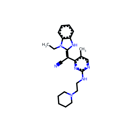 CCN1/C(=C(\C#N)c2nc(NCCN3CCCCC3)ncc2C)Nc2ccccc21